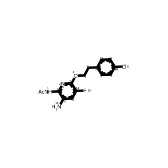 CC(=O)Nc1nc(OCCc2ccc(Cl)cc2)c(F)cc1N